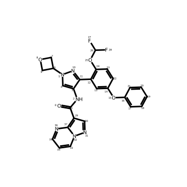 O=C(Nc1cn(C2COC2)nc1-c1cc(Oc2ccccc2)ccc1OC(F)F)c1cnn2cccnc12